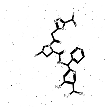 Cc1cc(C(NC(=O)C2CC(F)CN2C(=O)Cc2nnc(C(F)F)o2)c2ccccc2)ncc1C(C)C